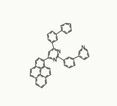 c1ccc(-c2cccc(-c3cc(-c4ccc5ccc6cccc7ccc4c5c67)nc(-c4cccc(-c5cccnc5)c4)n3)c2)cc1